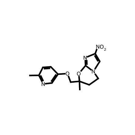 Cc1ccc(OCC2(C)CCn3cc([N+](=O)[O-])nc3O2)cn1